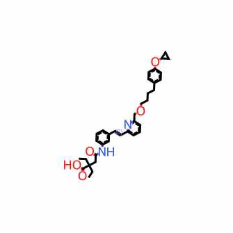 CCC(CC)(CC(=O)Nc1cccc(/C=C/c2cccc(COCCCCc3ccc(OC4CC4)cc3)n2)c1)C(=O)O